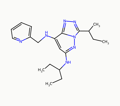 CCC(CC)Nc1cc(NCc2ccccn2)c2nnc(C(C)CC)n2n1